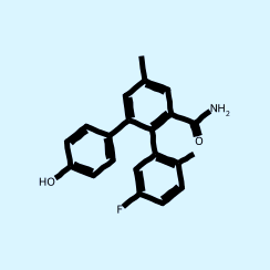 Cc1cc(C(N)=O)c(-c2cc(F)ccc2C)c(-c2ccc(O)cc2)c1